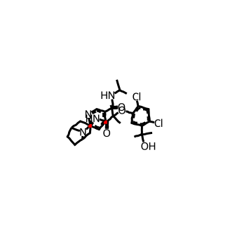 CC(C)NC(=O)c1ccc(N2C3CCC2CC(NC(=O)C(C)(C)Oc2cc(C(C)(C)O)c(Cl)cc2Cl)C3)nc1